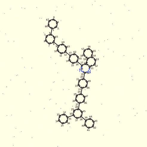 c1ccc(-c2cccc(-c3ccc(-c4ccc(-c5nc(-c6ccc(-c7ccc(-c8cc(-c9ccccc9)cc(-c9ccccc9)c8)cc7)cc6)nc6ccc7ccccc7c56)cc4)cc3)c2)cc1